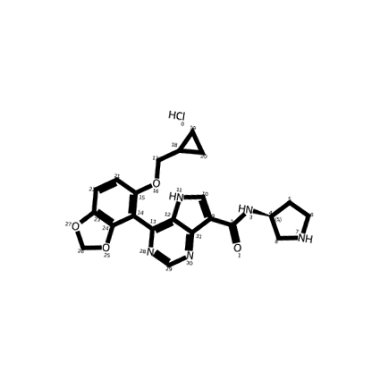 Cl.O=C(N[C@H]1CCNC1)c1c[nH]c2c(-c3c(OCC4CC4)ccc4c3OCO4)ncnc12